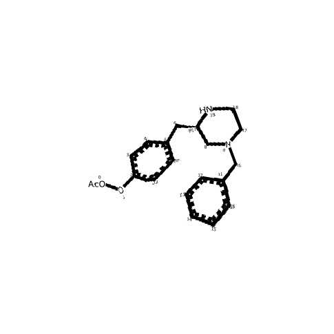 CC(=O)OOc1ccc(C[C@@H]2CN(Cc3ccccc3)CCN2)cc1